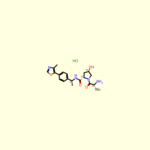 Cc1ncsc1-c1ccc([C@H](C)NC(=O)[C@@H]2C[C@@H](O)CN2C(=O)[C@H](N)C(C)(C)C)cc1.Cl